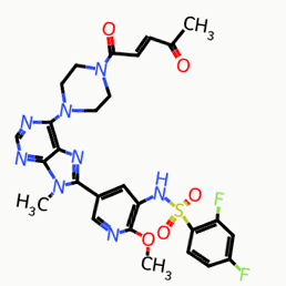 COc1ncc(-c2nc3c(N4CCN(C(=O)C=CC(C)=O)CC4)ncnc3n2C)cc1NS(=O)(=O)c1ccc(F)cc1F